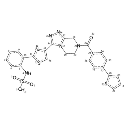 CS(=O)(=O)Nc1ccccc1-c1nc(-c2nnc3n2CCN(C(=O)c2ccc(-c4cccs4)cc2)C3)cs1